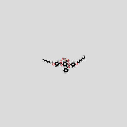 CCCCCCCOc1ccc(C(=O)Oc2cc(Cc3ccccc3)c(OC(=O)c3ccc(OCCCCCCC)cc3)c(C(=O)O)c2)cc1